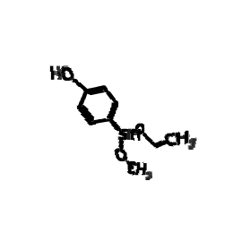 CCO[SiH](OC)c1ccc(O)cc1